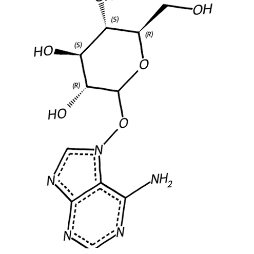 Nc1ncnc2ncn(OC3O[C@H](CO)[C@@H](O)[C@H](O)[C@H]3O)c12